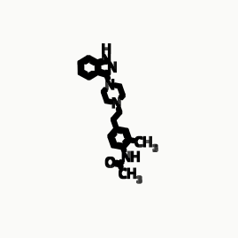 CC(=O)Nc1ccc(CCN2CCN(c3n[nH]c4ccccc34)CC2)cc1C